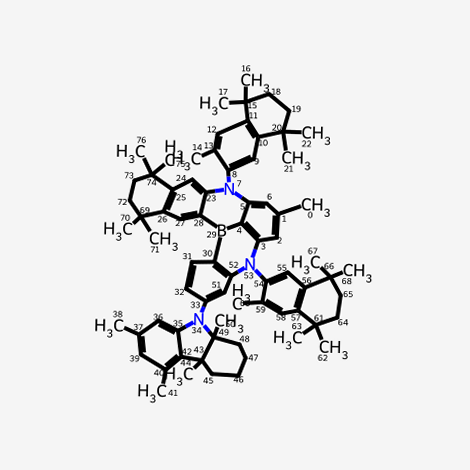 Cc1cc2c3c(c1)N(c1cc4c(cc1C)C(C)(C)CCC4(C)C)c1cc4c(cc1B3c1ccc(N3c5cc(C)cc(C)c5C5(C)CCCCC35C)cc1N2c1cc2c(cc1C)C(C)(C)CCC2(C)C)C(C)(C)CCC4(C)C